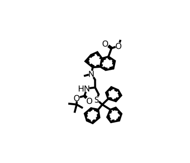 COC(=O)c1cccc2c(N(C)CC(CSC(c3ccccc3)(c3ccccc3)c3ccccc3)NC(=O)OC(C)(C)C)cccc12